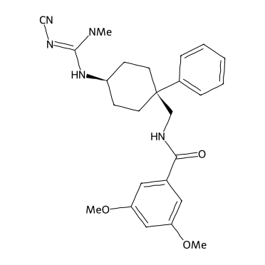 CN/C(=N\C#N)N[C@H]1CC[C@](CNC(=O)c2cc(OC)cc(OC)c2)(c2ccccc2)CC1